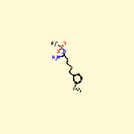 N/C(CCSCc1cccc([N+](=O)[O-])c1)=N\S(=O)(=O)C(F)(F)F